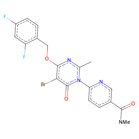 CNC(=O)c1ccc(-n2c(C)nc(OCc3ccc(F)cc3F)c(Br)c2=O)nc1